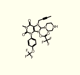 CC#CCN1c2c(n(-c3ccc(OC(F)(F)F)cc3)c(=O)n(C)c2=O)N(OC(=O)C(F)(F)F)C1N1CCNCC1